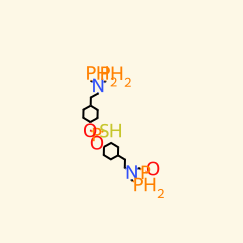 O=PCN(CP)CCC1CCC(OP(S)OC2CCC(CCN(CP)CP)CC2)CC1